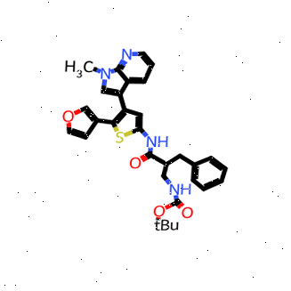 Cn1cc(-c2cc(NC(=O)C(CNC(=O)OC(C)(C)C)Cc3ccccc3)sc2-c2ccoc2)c2cccnc21